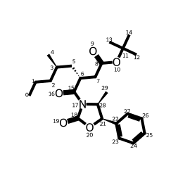 CCC[C@@H](C)C[C@H](CC(=O)OC(C)(C)C)C(=O)N1C(=O)O[C@H](c2ccccc2)[C@@H]1C